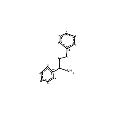 NC(CCc1cc[c]cc1)c1ccccc1